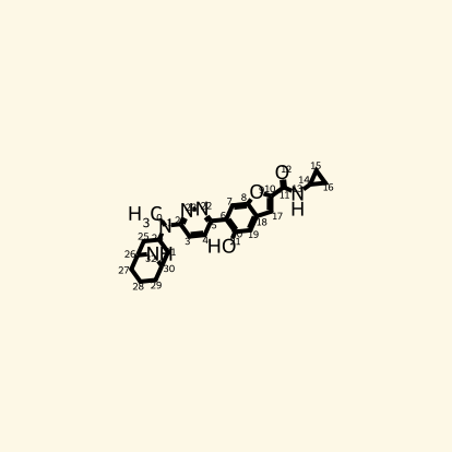 CN(c1ccc(-c2cc3oc(C(=O)NC4CC4)cc3cc2O)nn1)C1CC2CCCC(C1)N2